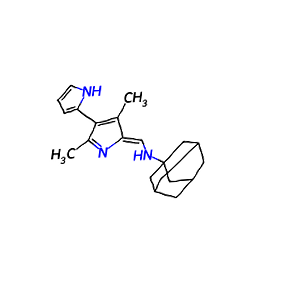 CC1=NC(=CNC23CC4CC(CC(C4)C2)C3)C(C)=C1c1ccc[nH]1